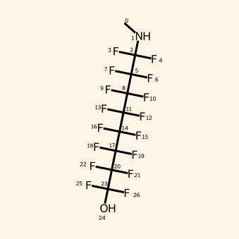 CNC(F)(F)C(F)(F)C(F)(F)C(F)(F)C(F)(F)C(F)(F)C(F)(F)C(O)(F)F